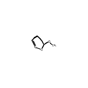 CCOC1C[C]=NO1